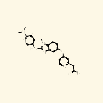 CN(C)c1ccc(Nc2nc3cc(Oc4ccnc(CC(N)=O)c4)ccc3n2C)cn1